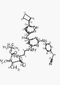 CC(C(=O)NCCNc1cc(Nc2cc(C3CCC3)[nH]n2)nc(Nc2ccc(CC#N)cc2)n1)N(C)C(=O)OC(C)(C)C